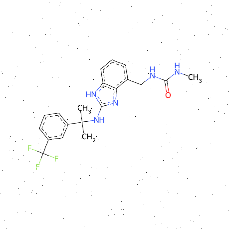 [CH2]C(C)(Nc1nc2c(CNC(=O)NC)cccc2[nH]1)c1cccc(C(F)(F)F)c1